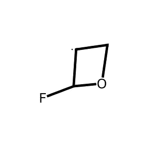 FC1[CH]CO1